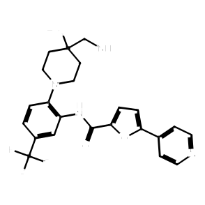 CC1(CN)CCN(c2ccc(C(F)(F)F)cc2NC(=O)c2ccc(-c3ccncc3)o2)CC1